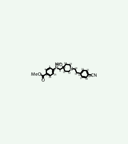 COC(=O)c1ccc(NCC2(O)CCN(CCc3ccc(C#N)cc3)CC2)cc1